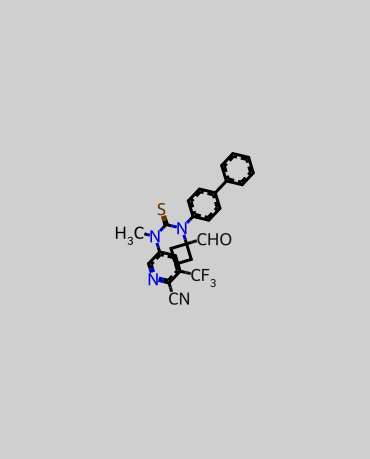 CN(C(=S)N(c1ccc(-c2ccccc2)cc1)C1(C=O)CCC1)c1cnc(C#N)c(C(F)(F)F)c1